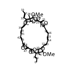 C/C=C/C(=O)C(C)(C(=O)OC)C1C\C=C/C=C/C=C/c2nc(co2)C(=O)OC(C(C)(C(=O)/C=C/C)C(=O)OC)C\C=C/C=C/C=C/c2nc(co2)C(=O)O1